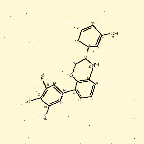 OC1=CC([C@H]2COc3c(cccc3-c3cc(F)c(F)c(F)c3)N2)CC=C1